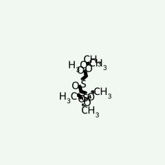 CCO[Si](CCC(=O)SCCC(=O)OC(C)(C)C)(OCC)OCC